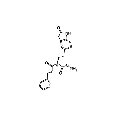 NOC(=O)[C@H](CCc1ccc2c(c1)CC(=O)N2)C(=O)OCc1ccccc1